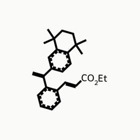 C=C(c1ccc2c(c1)C(C)(C)CCC2(C)C)c1ccccc1/C=C/C(=O)OCC